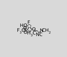 C=N/C=C(C#N)\C=C(/C)Oc1ccc(S(=O)(=O)C(F)(F)F)c2c1C[C@@H](F)[C@H]2O